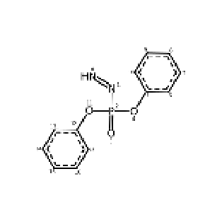 N=NP(=O)(Oc1ccccc1)Oc1ccccc1